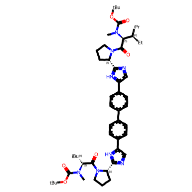 CC[C@H](C(C)C)[C@@H](C(=O)N1CCC[C@H]1c1ncc(-c2ccc(-c3ccc(-c4cnc([C@@H]5CCCN5C(=O)[C@H]([C@@H](C)CC)N(C)C(=O)OC(C)(C)C)[nH]4)cc3)cc2)[nH]1)N(C)C(=O)OC(C)(C)C